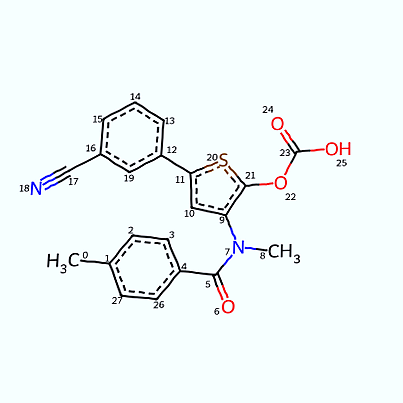 Cc1ccc(C(=O)N(C)c2cc(-c3cccc(C#N)c3)sc2OC(=O)O)cc1